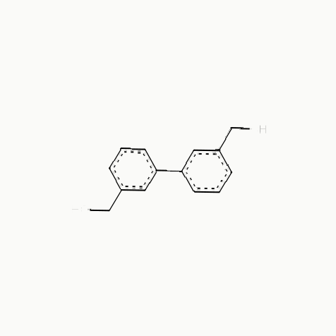 OCc1cccc(-c2cccc(CO)c2)c1